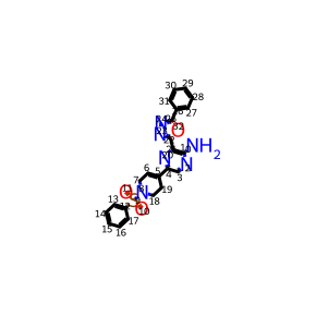 Nc1ncc(C2=CCN(S(=O)(=O)c3ccccc3)CC2)nc1-c1nnc(-c2ccccc2)o1